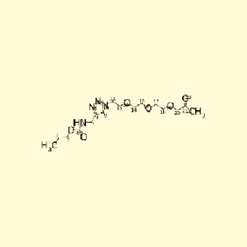 CCCOC(=O)NCc1cn(CCOCCOCCOCC(C)=O)nn1